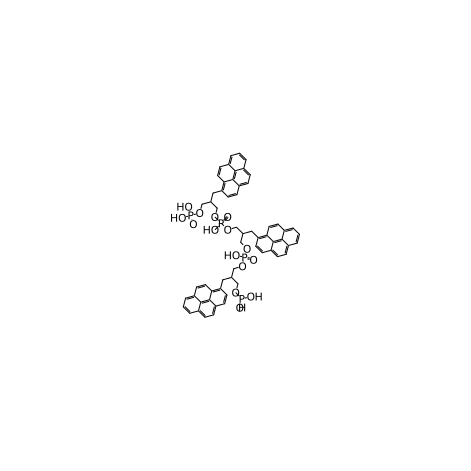 O=[PH](O)OCC(COP(=O)(O)OCC(COP(=O)(O)OCC(COP(=O)(O)O)Cc1ccc2ccc3cccc4ccc1c2c34)Cc1ccc2ccc3cccc4ccc1c2c34)Cc1ccc2ccc3cccc4ccc1c2c34